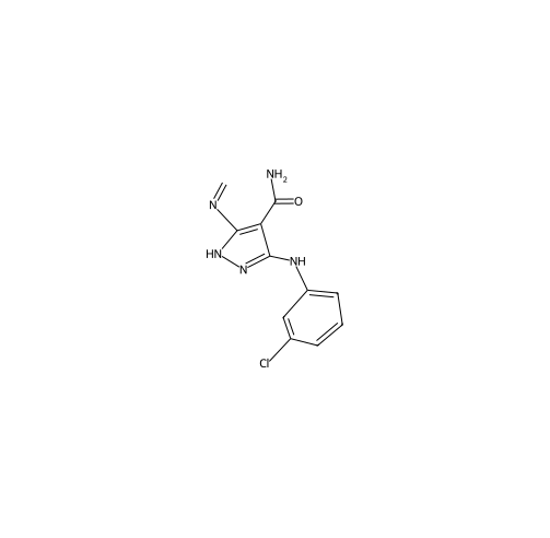 C=Nc1[nH]nc(Nc2cccc(Cl)c2)c1C(N)=O